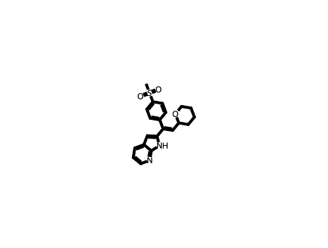 CS(=O)(=O)c1ccc(C(=CC2CCCCO2)c2cc3cccnc3[nH]2)cc1